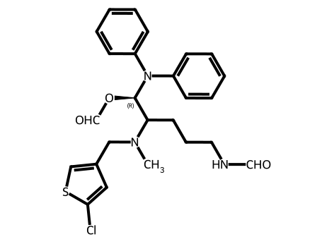 CN(Cc1csc(Cl)c1)C(CCCNC=O)[C@@H](OC=O)N(c1ccccc1)c1ccccc1